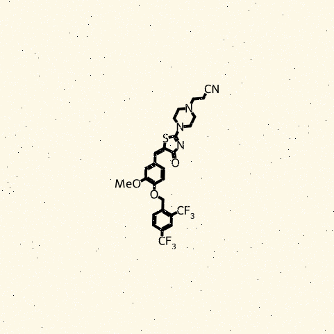 COc1cc(C=C2SC(N3CCN(CCC#N)CC3)=NC2=O)ccc1OCc1ccc(C(F)(F)F)cc1C(F)(F)F